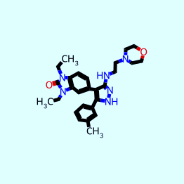 CCn1c(=O)n(CC)c2cc(-c3c(NCCN4CCOCC4)n[nH]c3-c3cccc(C)c3)ccc21